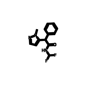 Cn1nccc1C(C(=O)NC(F)F)c1ccccc1